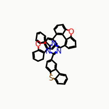 C1=Cc2oc3cc(-c4cccc5oc6cccc(-c7nc(-c8ccccc8)nc(-c8ccc9sc%10ccccc%10c9c8)n7)c6c45)ccc3c2CC1